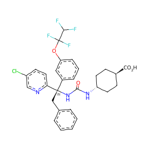 O=C(N[C@@](Cc1ccccc1)(c1cccc(OC(F)(F)C(F)F)c1)c1ccc(Cl)cn1)N[C@H]1CC[C@H](C(=O)O)CC1